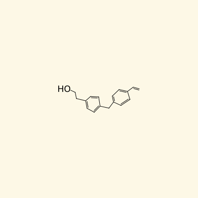 C=Cc1ccc(Cc2ccc(CCO)cc2)cc1